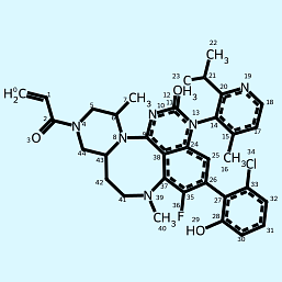 C=CC(=O)N1CC(C)N2c3nc(=O)n(-c4c(C)ccnc4C(C)C)c4cc(-c5c(O)cccc5Cl)c(F)c(c34)N(C)CCC2C1